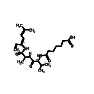 C=C/C(=C\C=C(C)C)NC(=O)C(C)NC(=O)[C@@H](NC(=O)CCCCCC(=O)O)C(C)C